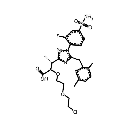 Cc1ccc(C)c(Cc2nc([C@@H](C)C(OCCOCCCl)C(=O)O)nn2-c2ccc(S(N)(=O)=O)cc2F)c1